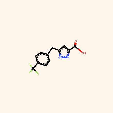 O=C(O)c1cc(Cc2ccc(C(F)(F)F)cc2)[nH]n1